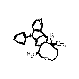 C=C1CCCCCC(C)(C)c2cc3c4cnccc4n(-c4ccccc4)c3cc21